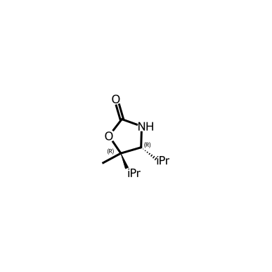 CC(C)[C@H]1NC(=O)O[C@]1(C)C(C)C